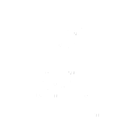 CCCOCCC(=O)NC(CCC(=O)ON1C(=O)CCC1=O)C(=O)OC(C)(C)C